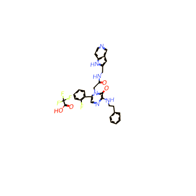 O=C(Cn1c(-c2ccccc2F)cnc(NCCc2ccccc2)c1=O)NCc1cc2cnccc2[nH]1.O=C(O)C(F)(F)F